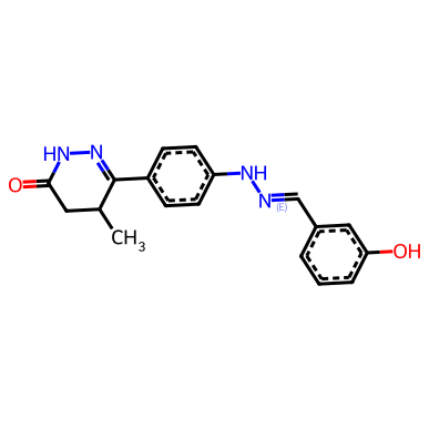 CC1CC(=O)NN=C1c1ccc(N/N=C/c2cccc(O)c2)cc1